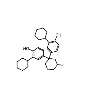 CC1CCCC(c2ccc(O)c(C3CCCCC3)c2)(c2ccc(O)c(C3CCCCC3)c2)C1